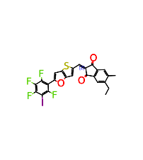 CCc1cc2c(cc1C)C(=O)/C(=C/c1cc3oc(-c4c(F)c(F)c(F)c(I)c4F)cc3s1)C2=O